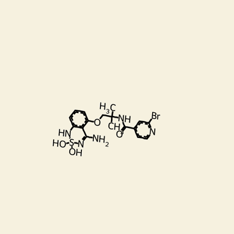 CC(C)(COc1cccc2c1C(N)=NS(O)(O)N2)NC(=O)c1ccnc(Br)c1